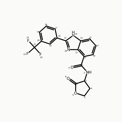 O=C(NC1CCOC1=O)c1cccc2[nH]c(-c3cccc(C(F)(F)F)c3)nc12